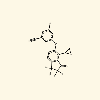 N#Cc1cc(F)cc(Oc2ccc3c(c2C2CC2)C(=O)C(F)(F)C3(F)F)c1